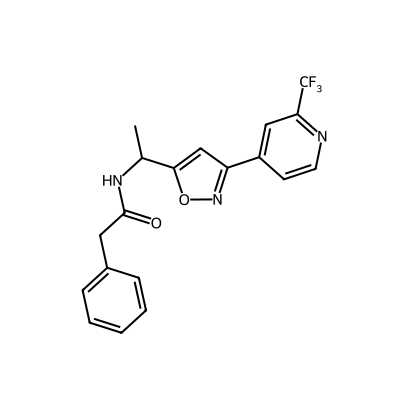 CC(NC(=O)Cc1ccccc1)c1cc(-c2ccnc(C(F)(F)F)c2)no1